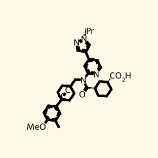 COc1ccc(C23CCC(CN(C(=O)[C@@H]4CCC[C@@H](C(=O)O)C4)c4cc(-c5cnn(C(C)C)c5)ccn4)(CC2)CC3)cc1C